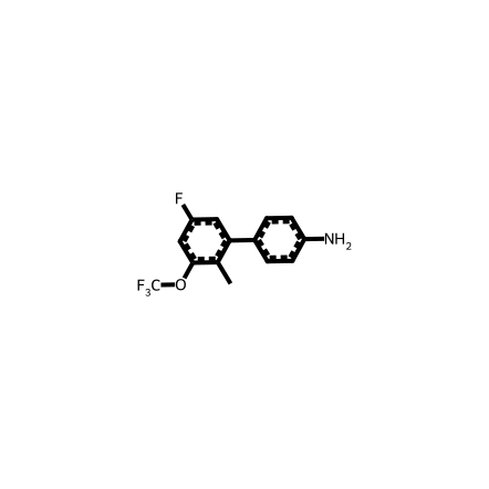 Cc1c(OC(F)(F)F)cc(F)cc1-c1ccc(N)cc1